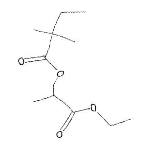 CCOC(=O)C(C)OC(=O)C(C)(C)CC